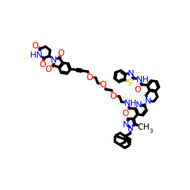 Cc1c(-c2ccc(N3CCc4cccc(C(=O)Nc5nc6ccccc6s5)c4C3)nc2C(=O)NCCOCCOCCOCC#Cc2ccc3c(c2)C(=O)N(C2CCC(=O)NC2=O)C3=O)cnn1CC12CC3CC(CC(C3)C1)C2